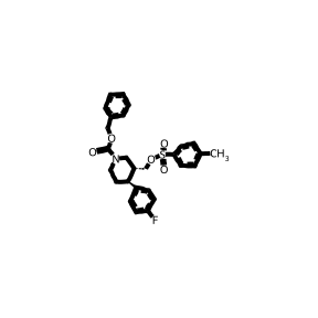 Cc1ccc(S(=O)(=O)OC[C@H]2CN(C(=O)OCc3ccccc3)CC[C@@H]2c2ccc(F)cc2)cc1